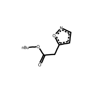 CCCCOC(=O)Cc1ccno1